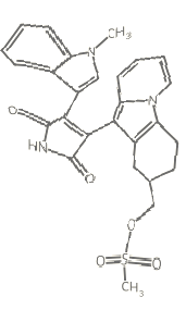 Cn1cc(C2=C(c3c4c(n5ccccc35)CCC(COS(C)(=O)=O)C4)C(=O)NC2=O)c2ccccc21